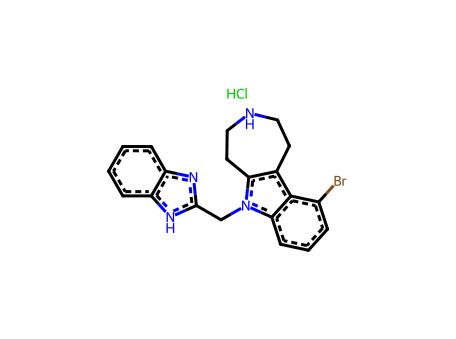 Brc1cccc2c1c1c(n2Cc2nc3ccccc3[nH]2)CCNCC1.Cl